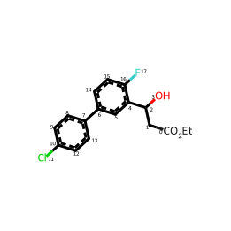 CCOC(=O)CC(O)c1cc(-c2ccc(Cl)cc2)ccc1F